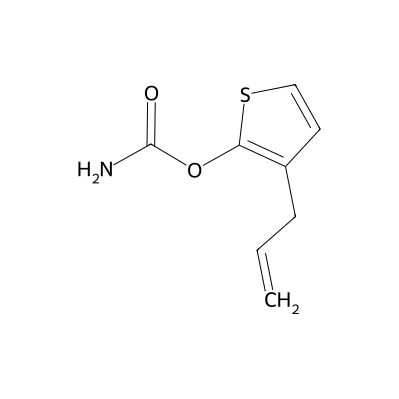 C=CCc1ccsc1OC(N)=O